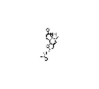 CC(=O)OCC1Cc2cc(C)c3[nH]c(=O)ccc3c2O1